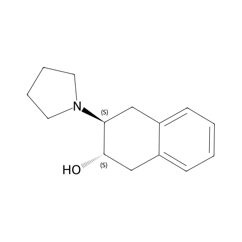 O[C@H]1Cc2ccccc2C[C@@H]1N1CCCC1